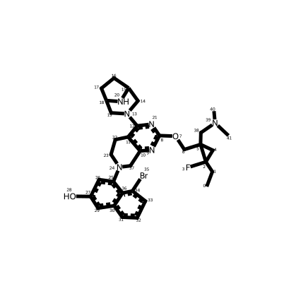 CCC1(F)CC1(COc1nc2c(c(N3CC4CCC(C3)N4)n1)CCN(c1cc(O)cc3cccc(Br)c13)C2)CN(C)C